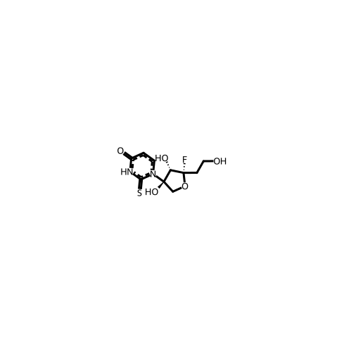 O=c1ccn([C@@]2(O)CO[C@](F)(CCO)[C@H]2O)c(=S)[nH]1